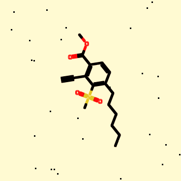 C#Cc1c(C(=O)OC)ccc(CCCCCC)c1S(C)(=O)=O